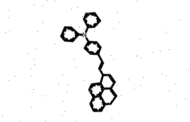 C1=CC(C=Cc2ccc(N(c3ccccc3)c3ccccc3)cc2)c2ccc3cccc4c3c2C1=CC4